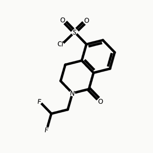 O=C1c2cccc(S(=O)(=O)Cl)c2CCN1CC(F)F